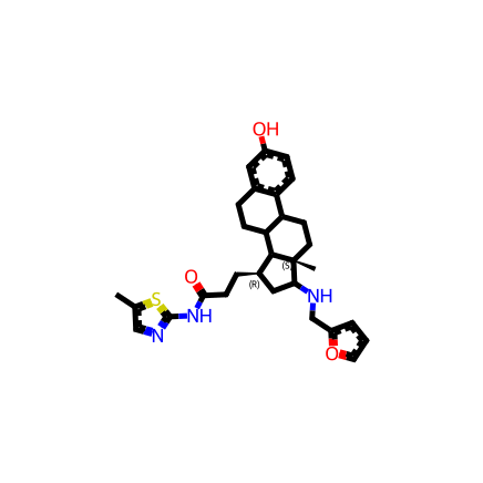 Cc1cnc(NC(=O)CC[C@@H]2CC(NCc3ccco3)[C@@]3(C)CCC4c5ccc(O)cc5CCC4C23)s1